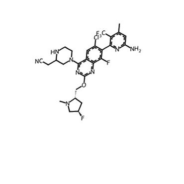 Cc1cc(N)nc(-c2c(Cl)cc3c(N4CCNC(CC#N)C4)nc(OC[C@@H]4C[C@@H](F)CN4C)nc3c2F)c1C(F)(F)F